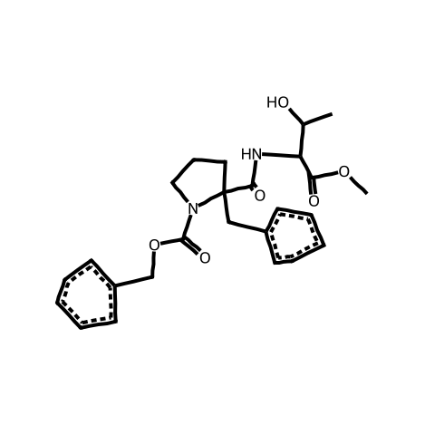 COC(=O)C(NC(=O)C1(Cc2ccccc2)CCCN1C(=O)OCc1ccccc1)C(C)O